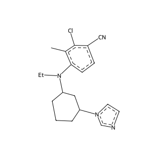 CCN(c1ccc(C#N)c(Cl)c1C)C1CCCC(n2ccnc2)C1